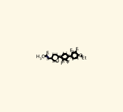 CCOc1ccc(-c2ccc(C3CCC(/C=C(/C)F)CO3)c(F)c2F)c(F)c1F